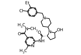 CCc1cc(CN2CCC(N3C(O)CC[C@@H]3C(=O)Nc3cc(C(=O)N(C)C)cc(C)n3)CC2)ccc1Cl